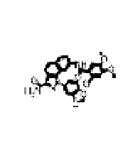 COc1cc(Cl)c(C(=O)Nc2ccc3c(c2)-c2c(c(C(N)=O)nn2-c2ccc4c(c2)OCO4)CC3)cc1OC